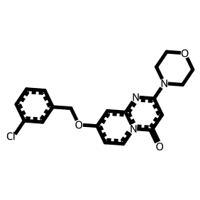 O=c1cc(N2CCOCC2)nc2cc(OCc3cccc(Cl)c3)ccn12